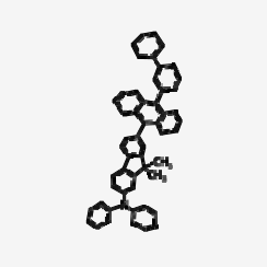 CC1(C)c2cc(-c3c4ccccc4c(-c4cccc(-c5ccccc5)c4)c4ccccc34)ccc2-c2ccc(N(c3ccccc3)c3ccccc3)cc21